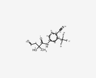 CC(O)(CC=O)C(=O)Nc1cnc(C#N)c(C(F)(F)F)c1